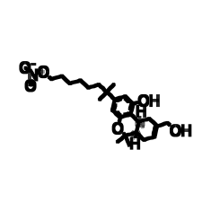 CC(C)(CCCCCCO[N+](=O)[O-])c1cc(O)c2c(c1)OC(C)(C)[C@H]1CC=C(CO)C[C@H]21